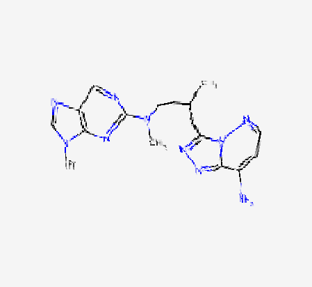 CC(CN(C)c1ncc2ncn(C(C)C)c2n1)c1nnc2c(N)ccnn12